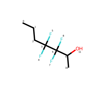 CCCC(F)(F)C(F)(F)C(C)O